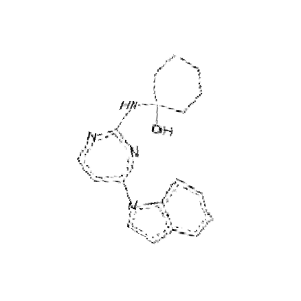 OC1(Nc2nccc(-n3ccc4ccccc43)n2)CCCCC1